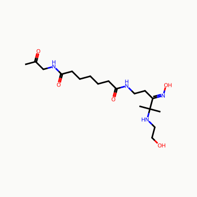 CC(=O)CNC(=O)CCCCCC(=O)NCC/C(=N\O)C(C)(C)NCCO